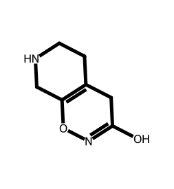 OC1=NOC2=C(CCNC2)C1